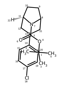 CC(C)(C)OC(=O)N1C2CC[C@@H]1CN(c1ccc(Cl)cn1)C2